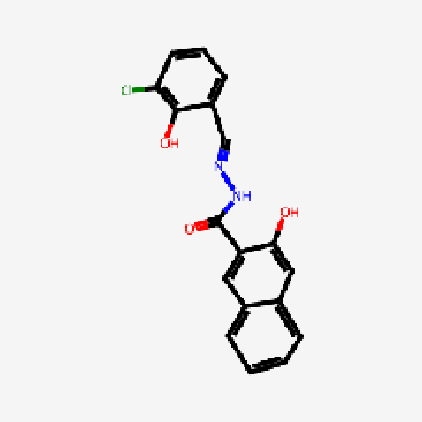 O=C(NN=Cc1cccc(Cl)c1O)c1cc2ccccc2cc1O